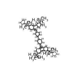 C[Si](C)(C)c1ccc2c(c1)c1cc([Si](C)(C)C3CCCC3)ccc1n2-c1ccc(-c2ccc(-n3c4ccc([Si](C)(C)C)cc4c4cc([Si](C)(C)C5CCCC5)ccc43)cc2)cc1